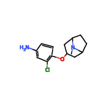 CN1C2CCC1CC(Oc1ccc(N)cc1Cl)C2